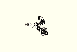 Cc1ccc(C(I)(OCc2cn(CC(C)C)nn2)C(C)(C)C(=O)O)cc1CN1C[C@@H](C)Oc2ccccc2S1(=O)=O